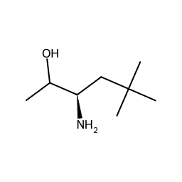 CC(O)[C@H](N)CC(C)(C)C